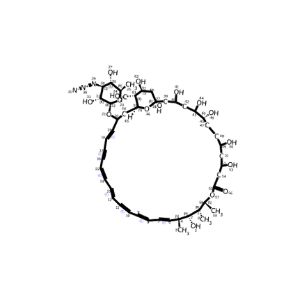 C[C@@H]1[C@H](O)[C@@H](C)/C=C/C=C/C=C/C=C/C=C/C=C/C=C/C(O[C@@H]2O[C@H](C)[C@@H](O)[C@H](N=[N+]=[N-])[C@H]2O)C[C@@H]2O[C@](O)(CC(O)CC(O)[C@H](O)CCC(O)CC(O)CC(=O)O[C@H]1C)C[C@H](O)[C@H]2C(=O)O